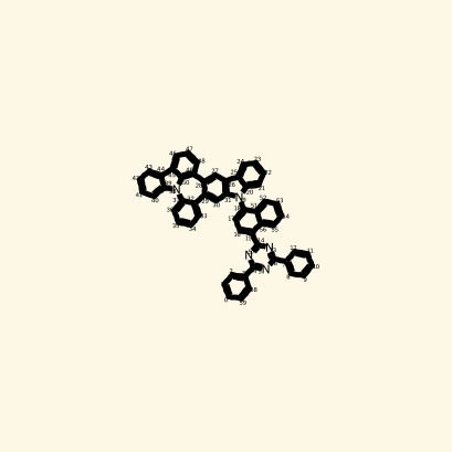 c1ccc(-c2nc(-c3ccccc3)nc(-c3ccc(-n4c5ccccc5c5cc6c(cc54)-c4ccccc4-n4c5ccccc5c5cccc-6c54)c4ccccc34)n2)cc1